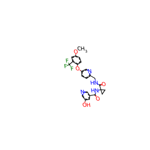 COc1ccc(Oc2ccc(CNC(=O)C3(NC(=O)c4cncc(O)c4)CC3)nc2)c(C(F)(F)F)c1